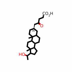 CC(O)C1CCC2C3CCC4C[C@H](CC(=O)CCC(=O)O)CCC4(C)C3CCC12C